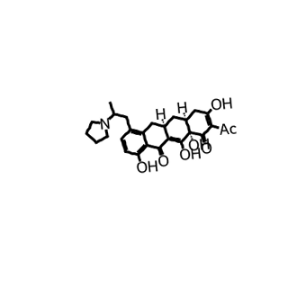 CC(=O)C1=C(O)C[C@@H]2C[C@@H]3Cc4c(CC(C)N5CCCC5)ccc(O)c4C(=O)C3=C(O)[C@]2(O)C1=O